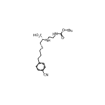 CC(C)(C)OC(=O)NCCN[C@H](CSCCCc1ccc(C#N)cc1)C(=O)O